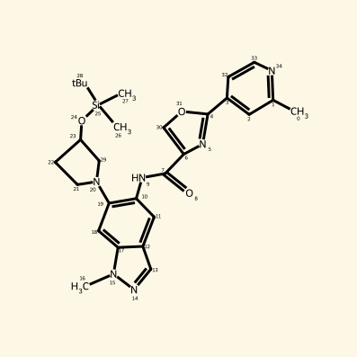 Cc1cc(-c2nc(C(=O)Nc3cc4cnn(C)c4cc3N3CCC(O[Si](C)(C)C(C)(C)C)C3)co2)ccn1